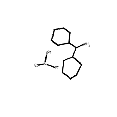 CCN(C(C)C)C(C)C.NC(C1CCCCC1)C1CCCCC1